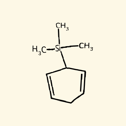 C[Si](C)(C)C1C=CCC=C1